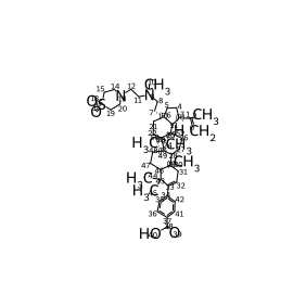 C=C(C)[C@@H]1CC[C@]2(CCN(C)CCN3CCS(=O)(=O)CC3)CC[C@]3(C)[C@H](CCC4[C@@]5(C)CC=C(c6ccc(C(=O)O)cc6)C(C)(C)C5CC[C@]43C)C12